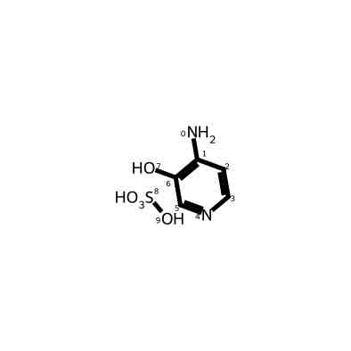 Nc1ccncc1O.O=S(=O)(O)O